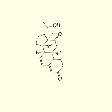 CC(O)[C@H]1CC[C@H]2[C@@H]3C=CC4=CC(=O)CC[C@]4(C)[C@H]3CC(=O)[C@]12C